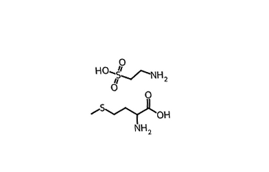 CSCCC(N)C(=O)O.NCCS(=O)(=O)O